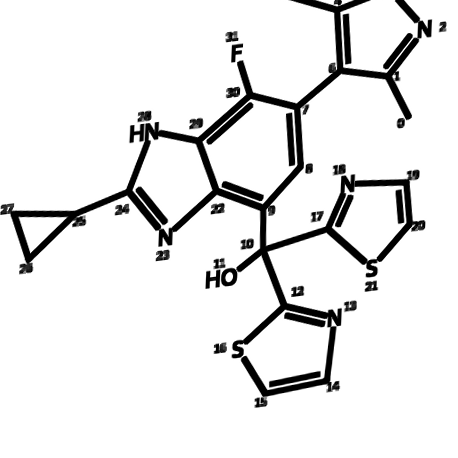 Cc1noc(C)c1-c1cc(C(O)(c2nccs2)c2nccs2)c2nc(C3CC3)[nH]c2c1F